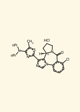 CCCN(CCC)c1nc(-c2ncn3c2[C@@H]2CCCN2C(=O)c2c(Cl)cccc2-3)sc1C.Cl